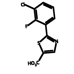 O=C(O)c1cnc(-c2cccc(Cl)c2F)s1